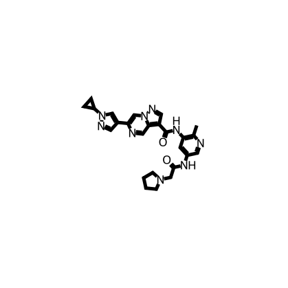 Cc1ncc(NC(=O)CN2CCCC2)cc1NC(=O)c1cnn2cc(-c3cnn(C4CC4)c3)ncc12